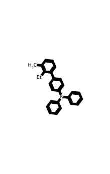 CCc1c(C)cccc1-c1ccc(N(c2ccccc2)c2ccccc2)cc1